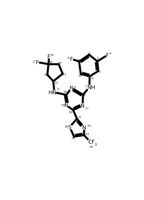 Fc1cc(F)cc(Nc2nc(NC3CCC(F)(F)C3)nc(-c3nc(C(F)(F)F)cs3)n2)c1